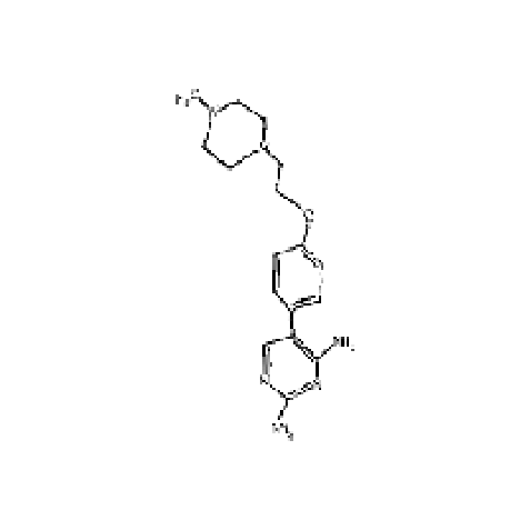 CN1CCN(CCOc2ccc(-c3cnc(N)nc3N)cc2)CC1